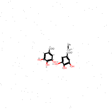 CC[CH2][Cu+2].O=C([O-])c1cc(O)c(O)c(O)c1.O=C([O-])c1cc(O)c(O)c(O)c1